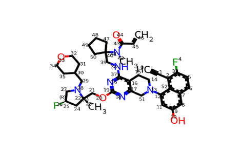 C#Cc1c(F)ccc2cc(O)cc(N3CCc4c(nc(OC[C@]5(C)C[C@@H](F)CN5CC5CCOCC5)nc4NCC4(N(C)C(=O)C=C)CCCC4)C3)c12